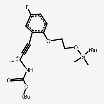 C[C@H](C#Cc1cc(F)ccc1OCCO[Si](C)(C)C(C)(C)C)NC(=O)OC(C)(C)C